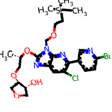 C[C@@H](CO[C@H]1COC[C@H]1O)Oc1nc2cc(Cl)c(-c3ccc(Br)nc3)nc2n1COCC[Si](C)(C)C